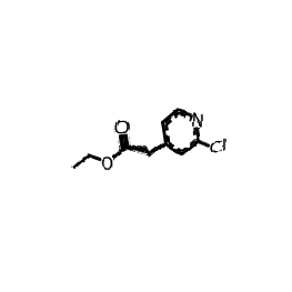 CCOC(=O)Cc1ccnc(Cl)c1